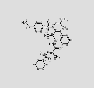 COc1ccc(S(=O)(=O)N(CC(C)C)C(Cc2ccccc2)[C@H](O)CNC(=O)[C@@H](C)CS(=O)(=O)N2CCCCC2)cc1